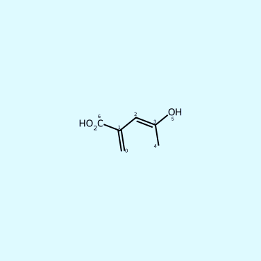 C=C(/C=C(\C)O)C(=O)O